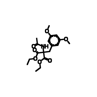 CCOC(=O)C(Cc1cc(OC)cc(OC)c1)(NC(C)=O)C(=O)OCC